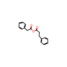 O=C(CCc1ccccc1)OC(=O)Cc1ccccc1